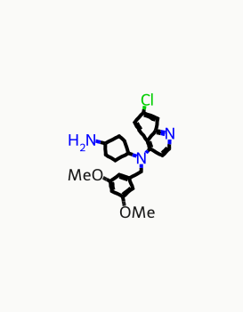 COc1cc(CN(c2ccnc3cc(Cl)ccc23)C2CCC(N)CC2)cc(OC)c1